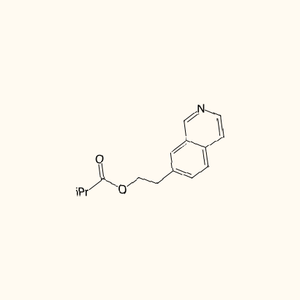 CC(C)C(=O)OCCc1ccc2ccncc2c1